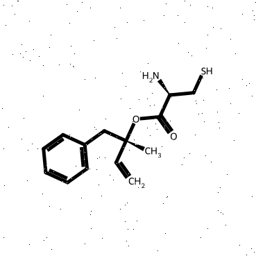 C=C[C@](C)(Cc1ccccc1)OC(=O)[C@@H](N)CS